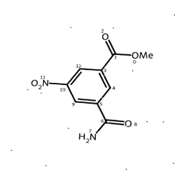 COC(=O)c1cc(C(N)=O)cc([N+](=O)[O-])c1